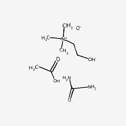 CC(=O)O.C[N+](C)(C)CCO.NC(N)=O.[Cl-]